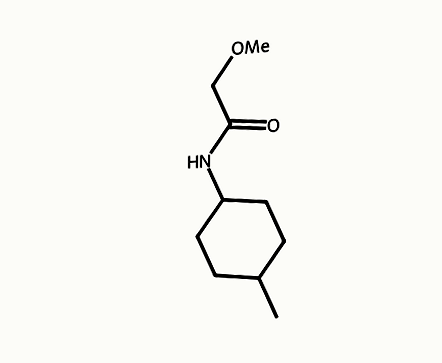 COCC(=O)NC1CCC(C)CC1